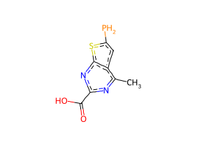 Cc1nc(C(=O)O)nc2sc(P)cc12